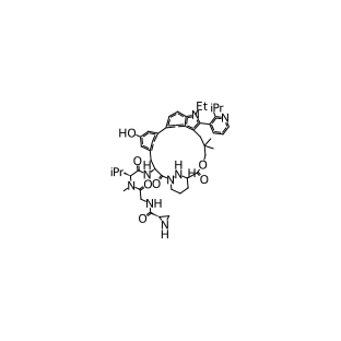 CCn1c(-c2cccnc2C(C)C)c2c3cc(ccc31)-c1cc(O)cc(c1)C[C@H](NC(=O)[C@H](C(C)C)N(C)C(=O)CNC(=O)[C@H]1CN1)C(=O)N1CCC[C@H](N1)C(=O)OCC(C)(C)C2